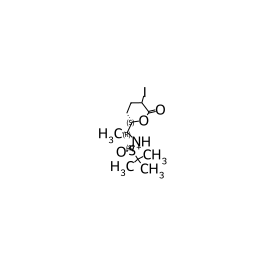 C[C@@H](N[S@+]([O-])C(C)(C)C)[C@@H]1CCC(I)C(=O)O1